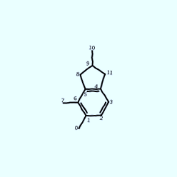 Cc1ccc2c(c1C)CC(C)C2